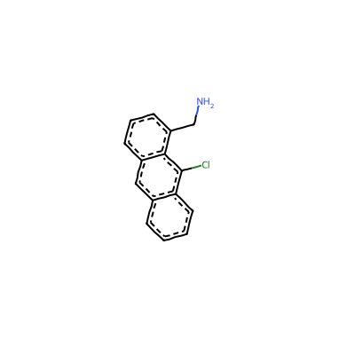 NCc1cccc2cc3ccccc3c(Cl)c12